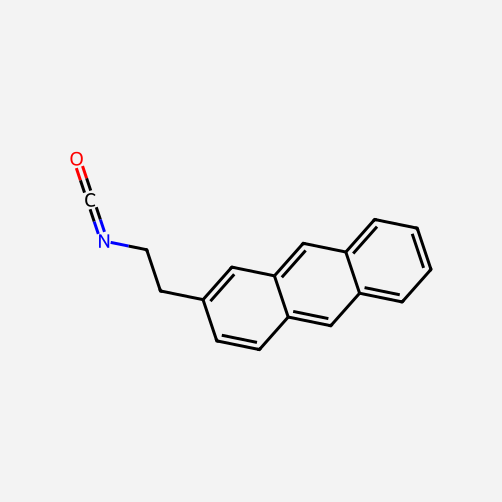 O=C=NCCc1ccc2cc3ccccc3cc2c1